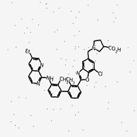 CCc1cnc2c(Nc3cccc(-c4cccc(-c5nc6cc(CN7CCC(C(=O)O)C7)cc(Cl)c6o5)c4C)c3C)nccc2c1